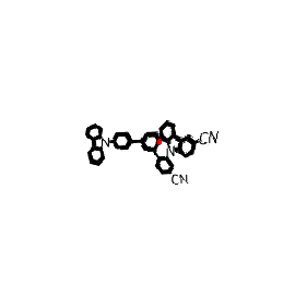 N#Cc1ccc(-c2cccc(-c3ccc(-n4c5ccccc5c5ccccc54)cc3)c2)c(-n2c3ccccc3c3cc(C#N)ccc32)c1